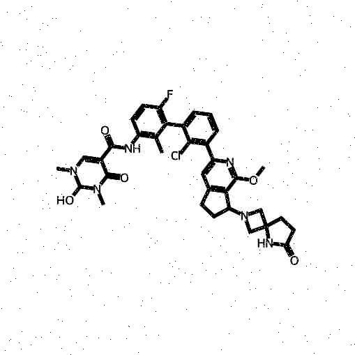 COc1nc(-c2cccc(-c3c(F)ccc(NC(=O)C4=CN(C)C(O)N(C)C4=O)c3C)c2Cl)cc2c1C(N1CC3(CCC(=O)N3)C1)CC2